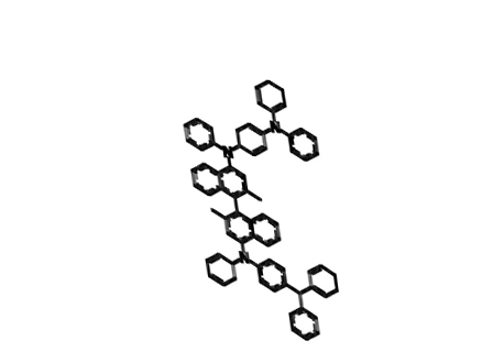 Cc1cc(N(c2ccccc2)C2C=CC(N(C3=CCCC=C3)c3ccccc3)=CC2)c2ccccc2c1-c1c(C)cc(N(c2ccc(C(C3=CCCC=C3)c3ccccc3)cc2)C2C=CC=CC2)c2ccccc12